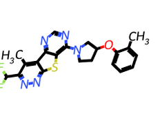 Cc1ccccc1OC1CCN(c2ncnc3c2sc2nnc(C(F)F)c(C)c23)C1